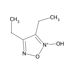 CCc1no[n+](O)c1CC